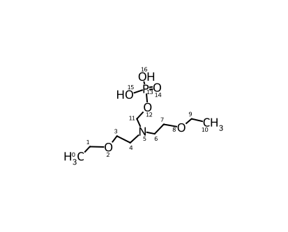 CCOCCN(CCOCC)COP(=O)(O)O